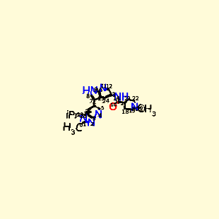 Cc1nc2ncc(-c3c[nH]c4ncc(NC(=O)C5CCN(C)CC5)cc34)cc2n1C(C)C